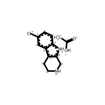 CC(=O)O.Clc1ccc2[nH]c3c(c2c1)CCNC3